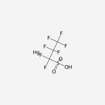 O=S(=O)(O)C(F)(F)C(F)(F)C(F)(F)F.[Hg]